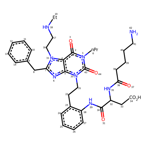 CCCn1c(=O)c2c(nc(Cc3ccccc3)n2CCNCC)n(CCc2ccccc2NC(=O)C(CC(=O)O)NC(=O)CCCCN)c1=O